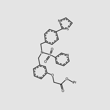 CC(C)OC(=O)COc1cccc(CN(Cc2ccc(-c3nccs3)cc2)S(=O)(=O)c2cccnc2)c1